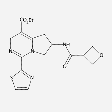 CCOC(=O)C1=C2CC(NC(=O)C3COC3)CN2C(c2nccs2)=NC1